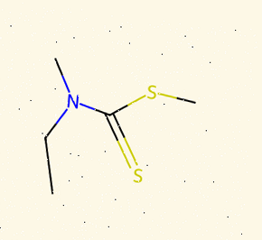 CCN(C)C(=S)SC